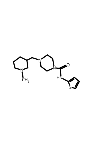 CN1CCCC(CN2CCN(C(=O)Nc3cccs3)CC2)C1